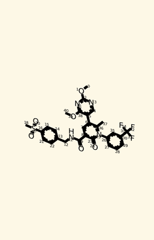 COc1ncc(-c2cc(C(=O)NCc3ccc(S(C)(=O)=O)cc3)c(=O)n(-c3cccc(C(F)(F)F)c3)c2C)c(OC)n1